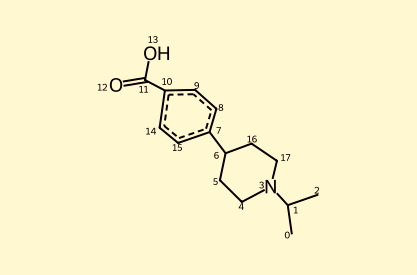 CC(C)N1CCC(c2ccc(C(=O)O)cc2)CC1